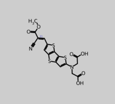 COC(=O)/C(C#N)=C/c1cc2sc3cc(N(CC(=O)O)CC(=O)O)sc3c2s1